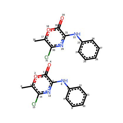 Cc1oc(=O)c(Nc2ccccc2)nc1Cl.Cc1oc(=O)c(Nc2ccccc2)nc1Cl